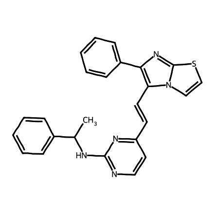 CC(Nc1nccc(C=Cc2c(-c3ccccc3)nc3sccn23)n1)c1ccccc1